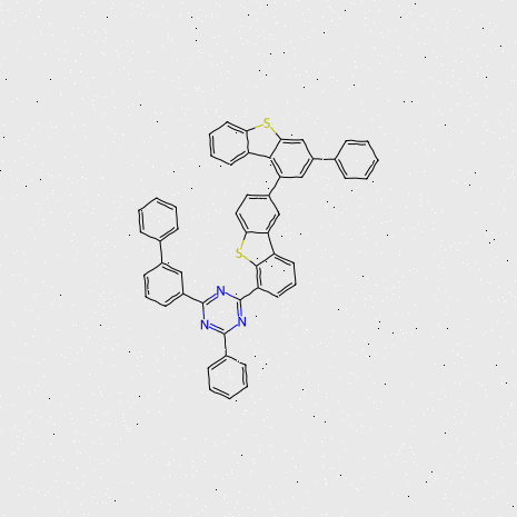 c1ccc(-c2cccc(-c3nc(-c4ccccc4)nc(-c4cccc5c4sc4ccc(-c6cc(-c7ccccc7)cc7sc8ccccc8c67)cc45)n3)c2)cc1